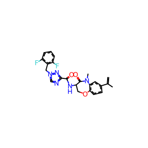 C=C(C)c1ccc2c(c1)N(C)C(=O)C(NC(=O)c1ncn(Cc3c(F)cccc3F)n1)CO2